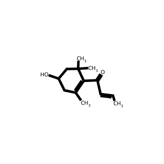 CC=CC(=O)C1=C(C)CC(O)CC1(C)C